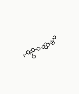 N#Cc1ccc2c3ccc(-c4ccc(-c5cc6ccc7cc(-c8cccc(-c9ccccc9)n8)cc8ccc(c5)c6c78)cc4)cc3n(-c3ccccc3)c2c1